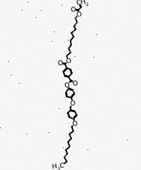 C=CC(=O)OCCCCCCCCCCCOC(=O)c1ccc(C(=O)Oc2ccc(OCc3ccc(OCCCCCCCCCCC)cc3)cc2)cc1